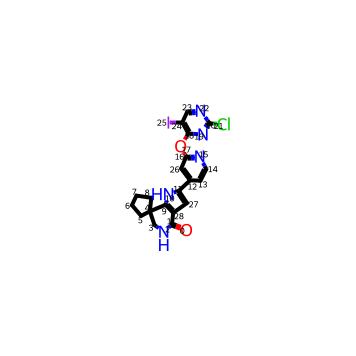 O=C1NCC2(CCCC2)c2[nH]c(-c3ccnc(Oc4nc(Cl)ncc4I)c3)cc21